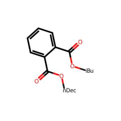 CCCCCCCCCCOC(=O)c1ccccc1C(=O)OC(C)CC